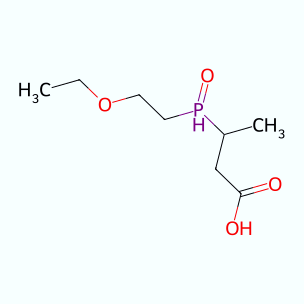 CCOCC[PH](=O)C(C)CC(=O)O